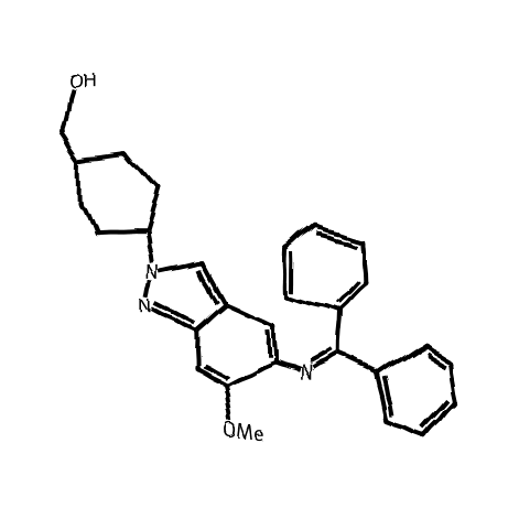 COc1cc2nn(C3CCC(CO)CC3)cc2cc1N=C(c1ccccc1)c1ccccc1